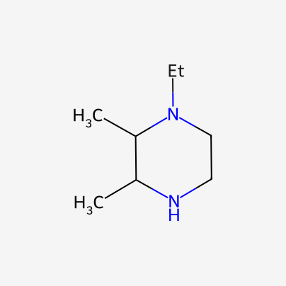 CCN1CCNC(C)C1C